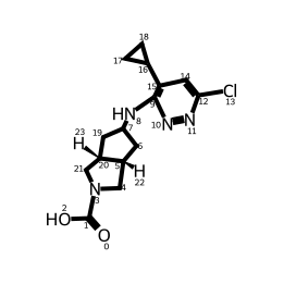 O=C(O)N1C[C@H]2CC(Nc3nnc(Cl)cc3C3CC3)C[C@H]2C1